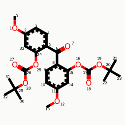 COc1ccc(C(=O)c2ccc(OC)cc2OC(=O)OC(C)(C)C)c(OC(=O)OC(C)(C)C)c1